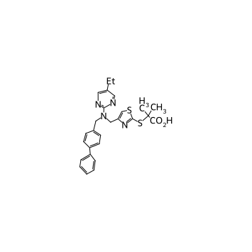 CCc1cnc(N(Cc2ccc(-c3ccccc3)cc2)Cc2csc(SC(C)(C)C(=O)O)n2)nc1